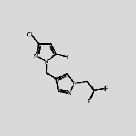 FC(F)Cn1cc(Cn2nc(Cl)cc2I)cn1